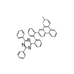 CC1C=Cc2c(c3cc(-c4ccccc4-c4ccccc4-c4nc(-c5ccccc5)nc(-c5ccccc5)n4)ccc3c3ccccc23)C1